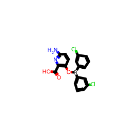 Nc1ccc(OB(c2cccc(Cl)c2)c2cccc(Cl)c2)c(C(=O)O)n1